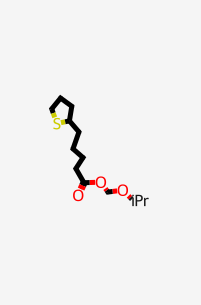 CC(C)OCOC(=O)CCCCC1CCCS1